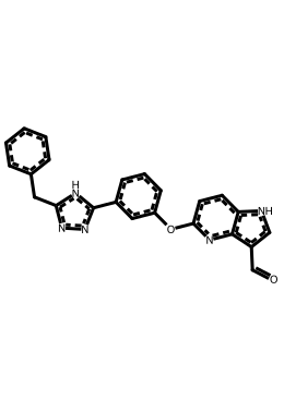 O=Cc1c[nH]c2ccc(Oc3cccc(-c4nnc(Cc5ccccc5)[nH]4)c3)nc12